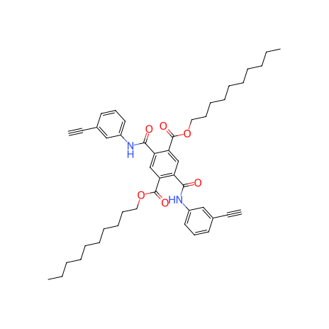 C#Cc1cccc(NC(=O)c2cc(C(=O)OCCCCCCCCCC)c(C(=O)Nc3cccc(C#C)c3)cc2C(=O)OCCCCCCCCCC)c1